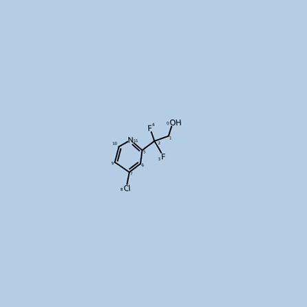 OCC(F)(F)c1cc(Cl)ccn1